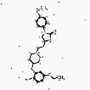 CCOc1ccc(Br)c(CC2CCN(CCC3CN(c4ccc(OC)cc4)C(=O)S3)CC2)c1